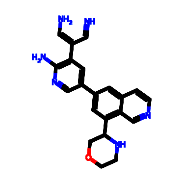 N=C/C(=C\N)c1cc(-c2cc(C3COCCN3)c3cnccc3c2)cnc1N